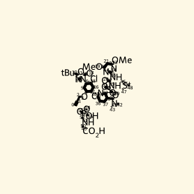 C#CCOc1cc(-n2nc(C(C)(C)C)oc2=O)c(Cl)cc1Cl.COc1cc(OC)nc(NC(=O)NS(=O)(=O)c2ncccc2C(=O)N(C)C)n1.C[S+](C)C.O=C(O)CNCP(=O)([O-])O